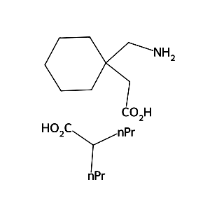 CCCC(CCC)C(=O)O.NCC1(CC(=O)O)CCCCC1